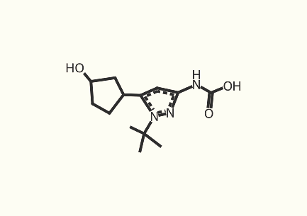 CC(C)(C)n1nc(NC(=O)O)cc1C1CCC(O)C1